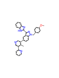 COc1ccc(Cn2nc(-c3nc4ccccc4[nH]3)c3cc(-c4cncc(-c5ccccn5)c4C)ccc32)cc1